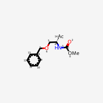 COC(=O)N[C@H](COCc1ccccc1)C(C)=O